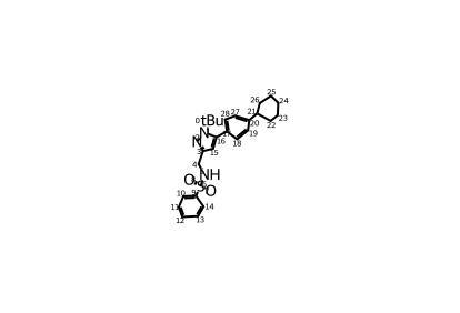 CC(C)(C)n1nc(CNS(=O)(=O)c2ccccc2)cc1-c1ccc(C2CCCCC2)cc1